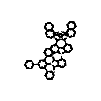 O=C1c2cccc(-n3c4cccc(-c5nc(-c6ccccc6)nc(-c6ccccc6)n5)c4c4c(-c5nc(-c6ccccc6)nc(-c6ccccc6)n5)cccc43)c2C(=O)N1c1c(-c2ccccc2)cc(-c2ccccc2)cc1-c1ccccc1